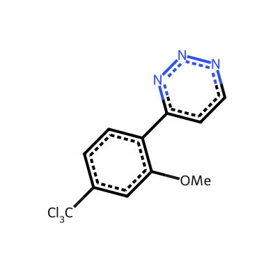 COc1cc(C(Cl)(Cl)Cl)ccc1-c1ccnnn1